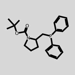 CC(C)(C)OC(=O)N1CCCC1CP(c1ccccc1)c1ccccc1